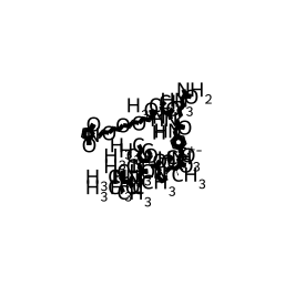 CC[C@H](C)[C@@H]([C@@H](CC(=O)N1CCC[C@H]1[C@H](OC)[C@@H](C)C(=O)N[S+]([O-])c1ccc(NC(=O)[C@H](CCCNC(N)=O)NC(=O)[C@@H](NC(=O)CCOCCOCCOCCN2C(=O)C=CC2=O)C(C)C)cc1)OC)N(C)C(=O)[C@@H](NC(=O)[C@H](C(C)C)N(C)C)C(C)C